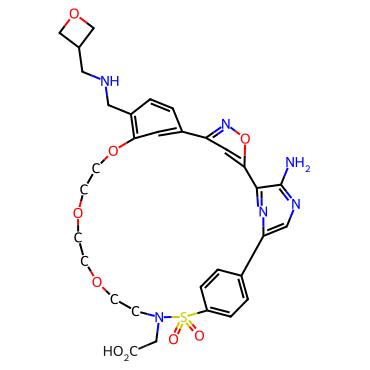 Nc1ncc2nc1-c1cc(no1)-c1ccc(CNCC3COC3)c(c1)OCCOCCOCCN(CC(=O)O)S(=O)(=O)c1ccc-2cc1